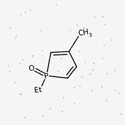 CCP1(=O)C=CC(C)=C1